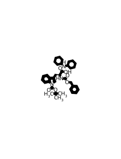 C1CCC(NC2CCCCC2)CC1.CC(C)(C)OC(=O)n1cc(C[C@H](NC(=O)OCc2ccccc2)C(=O)O)c2ccccc21